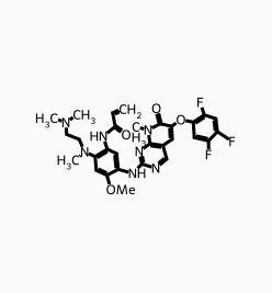 C=CC(=O)Nc1cc(Nc2ncc3cc(Oc4cc(F)c(F)cc4F)c(=O)n(C)c3n2)c(OC)cc1N(C)CCN(C)C